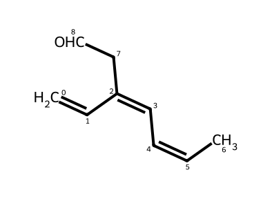 C=C/C(=C\C=C/C)CC=O